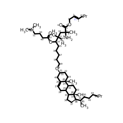 CC(C)/C=C/COC(=O)C(C)(N)CC(C)(C)C(CCCCCO[C@H]1CC[C@@]2(C)C(=CCC3C2CC[C@@]2(C)C3CC[C@@H]2[C@H](C)CCCC(C)C)C1)OC(=O)CCCN(C)C